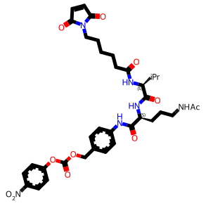 CC(=O)NCCC[C@H](NC(=O)[C@@H](NC(=O)CCCCCN1C(=O)C=CC1=O)C(C)C)C(=O)Nc1ccc(COC(=O)Oc2ccc([N+](=O)[O-])cc2)cc1